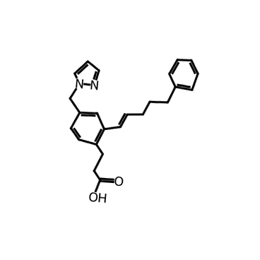 O=C(O)CCc1ccc(Cn2cccn2)cc1/C=C/CCCc1ccccc1